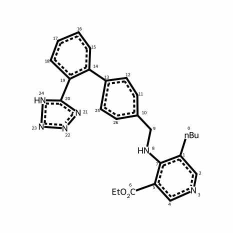 CCCCc1cncc(C(=O)OCC)c1NCc1ccc(-c2ccccc2-c2nnn[nH]2)cc1